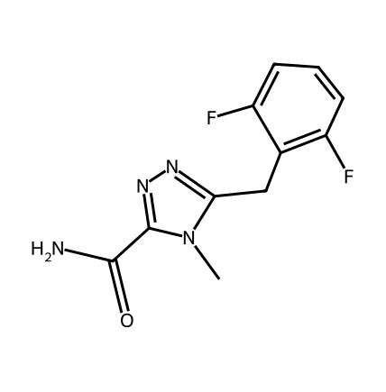 Cn1c(Cc2c(F)cccc2F)nnc1C(N)=O